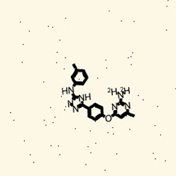 [2H]N([2H])c1nc(C)cc(Oc2ccc(-c3nnc(Nc4cccc(C)c4)[nH]3)cc2)n1